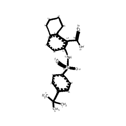 CC(C)(C)c1ccc(S(=O)(=O)Nc2ccc3c(c2C(=O)O)CCCC3)cc1